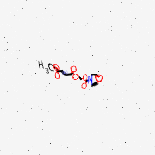 COC(=O)/C=C/C(=O)OCCOC(=O)N1CCOCC1